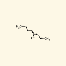 C=CCC=[N+]([O-])CC=C